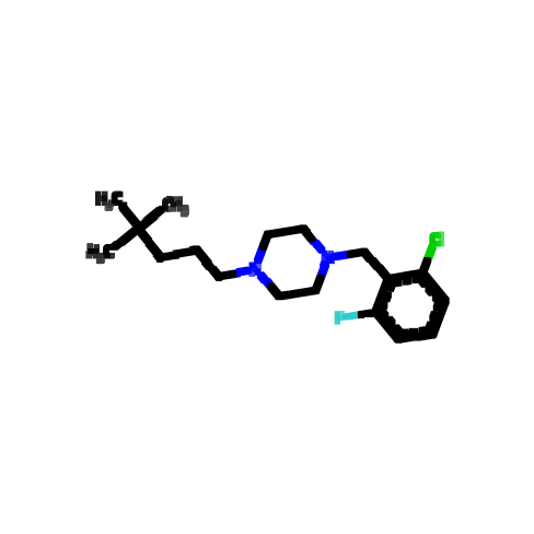 CC(C)(C)CCCN1CCN(Cc2c(F)cccc2Cl)CC1